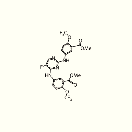 COC(=O)c1cc(Nc2ncc(F)c(Nc3ccc(OC(F)(F)F)c(C(=O)OC)c3)n2)ccc1OC(F)(F)F